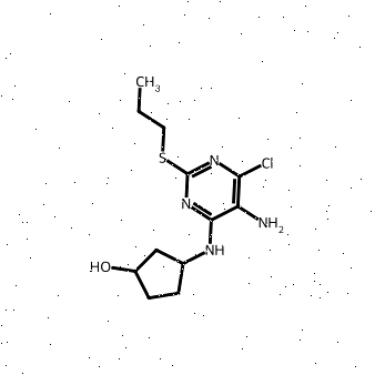 CCCSc1nc(Cl)c(N)c(NC2CCC(O)C2)n1